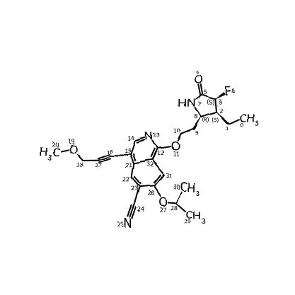 CC[C@@H]1[C@H](F)C(=O)N[C@@H]1CCOc1ncc(C#CCOC)c2cc(C#N)c(OC(C)C)cc12